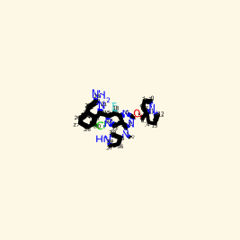 CN(c1nc(OCC23CCCN2CCC3)nc2c(F)c(-c3nc(N)cc4cccc(Cl)c34)ncc12)[C@@H]1CCNC1